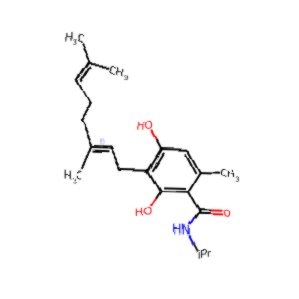 CC(C)=CCC/C(C)=C/Cc1c(O)cc(C)c(C(=O)NC(C)C)c1O